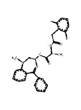 C[C@H](NC(=O)Cc1c(F)cccc1F)C(=O)N[C@@H]1CN(C)c2ccccc2C(c2ccccc2)=N1